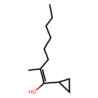 CCCCCCC(C)=C(O)C1CC1